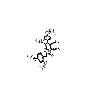 COc1ccc(/C=c2\sc3n(c2=O)C(N)=C(C#N)C(c2ccc(OC)cc2OC)C=3C#N)c(OC)c1